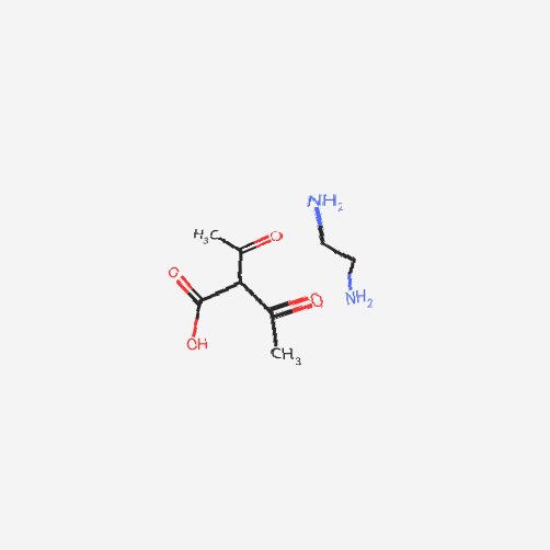 CC(=O)C(C(C)=O)C(=O)O.NCCN